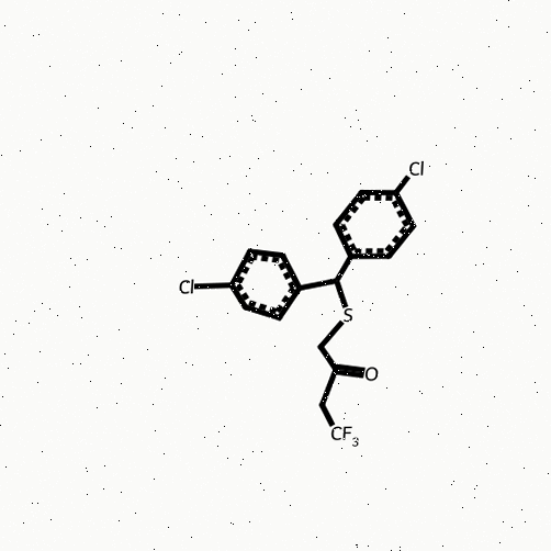 O=C(CSC(c1ccc(Cl)cc1)c1ccc(Cl)cc1)CC(F)(F)F